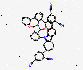 N#Cc1ccc(C2=Cc3c(c4ccc(-c5ccc(C#N)cc5C#N)cc4n3-c3cccc4c3C(=O)N(c3c(-c5ccccc5)cccc3-c3ccccc3)C4=O)CC=C2)c(C#N)c1